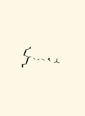 BC(B)OC(=O)BBBBC(/C=C\C=C)=C/C=C